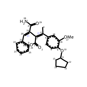 COC(=O)C(=C(/C)c1ccc(OC2CCCC2)c(OC)c1)/C(=C\c1ccccc1)C(N)=O